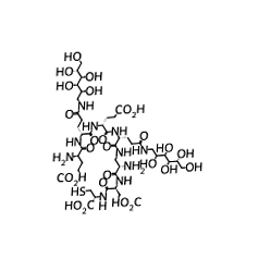 N[C@H](CCC(=O)O)C(=O)N[C@H](CCC(=O)NC[C@H](O)[C@@H](O)[C@H](O)[C@H](O)CO)C(=O)N[C@H](CCC(=O)O)C(=O)N[C@H](CCC(=O)NC[C@H](O)[C@@H](O)[C@H](O)[C@H](O)CO)C(=O)NC[C@H](N)C(=O)N[C@@H](CC(=O)O)C(=O)N[C@@H](CS)C(=O)O